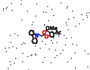 COC(=O)c1cc(C(C)=O)ccc1OCCCn1c2ccccc2c2ccccc21